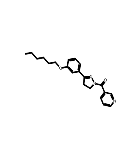 CCCCCCOc1cccc(C2=NN(C(=O)c3cccnc3)CC2)c1